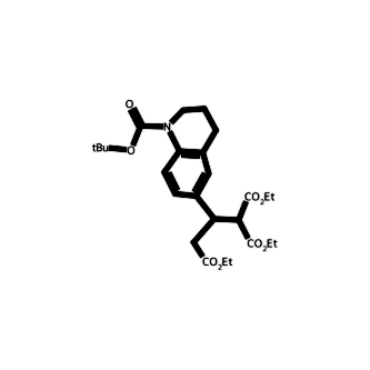 CCOC(=O)CC(c1ccc2c(c1)CCCN2C(=O)OC(C)(C)C)C(C(=O)OCC)C(=O)OCC